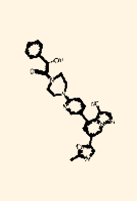 Cc1ncc(-c2cc(-c3ccc(N4CCN(C(=O)[C@@H](O)c5ccccc5)CC4)nc3)c3c(C#N)cnn3c2)o1